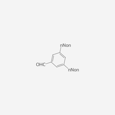 CCCCCCCCCc1cc(C=O)cc(CCCCCCCCC)c1